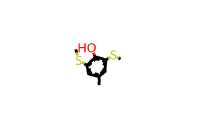 CSc1cc(C)cc(SC)c1O